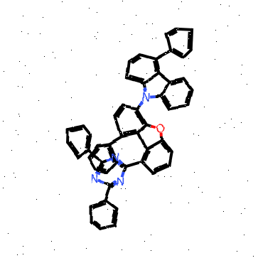 c1ccc(-c2nc(-c3ccccc3)nc(-c3cccc4oc5c(-n6c7ccccc7c7c(-c8ccccc8)cccc76)ccc(-c6ccccc6)c5c34)n2)cc1